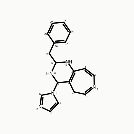 C1=CC2=C(CC=N1)C(n1ccnc1)NC(Cc1ccccc1)N2